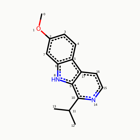 COc1ccc2c(c1)[nH]c1c(C(C)C)nccc12